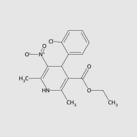 CCOC(=O)C1=C(C)NC(C)=C([N+](=O)[O-])C1c1ccccc1Cl